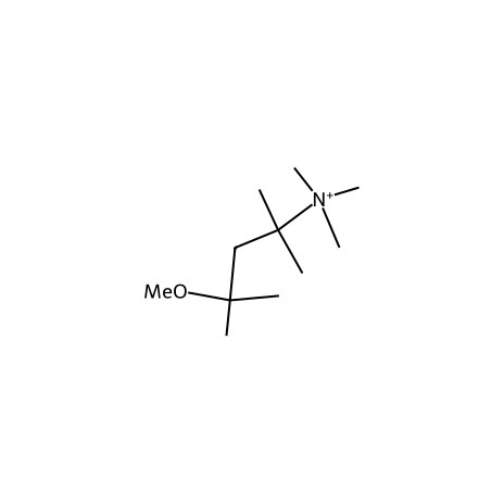 COC(C)(C)CC(C)(C)[N+](C)(C)C